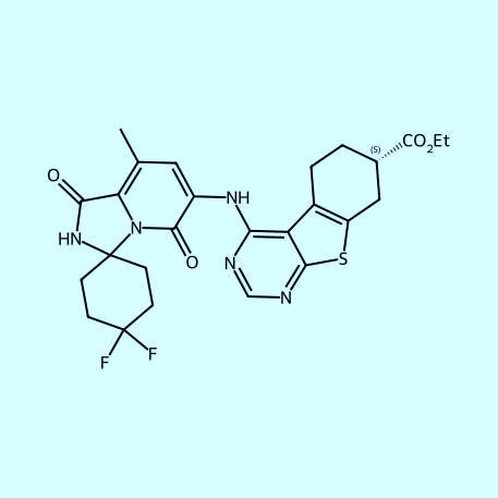 CCOC(=O)[C@H]1CCc2c(sc3ncnc(Nc4cc(C)c5n(c4=O)C4(CCC(F)(F)CC4)NC5=O)c23)C1